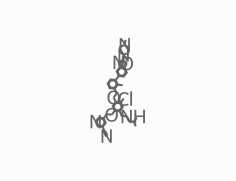 Cc1c(COc2cc(OCc3cncc(C#N)c3)c(CNCC(C)C)cc2Cl)cccc1-c1ccc2oc(N3CCN(C)CC3)nc2c1